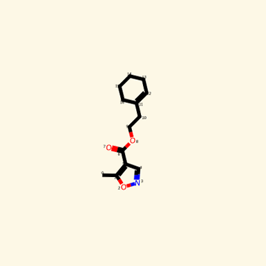 Cc1oncc1C(=O)OCCC1=CCCCC1